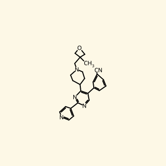 CC1(CN2CCC(c3nc(-c4ccncc4)ncc3-c3cccc(C#N)c3)CC2)COC1